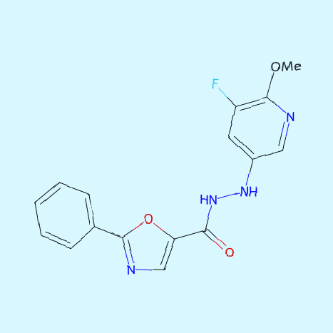 COc1ncc(NNC(=O)c2cnc(-c3ccccc3)o2)cc1F